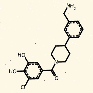 NCc1cccc(C2CCN(C(=O)c3cc(O)c(O)c(Cl)c3)CC2)c1